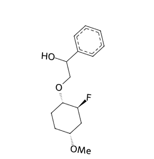 CO[C@@H]1CC[C@H](OCC(O)c2ccccc2)[C@@H](F)C1